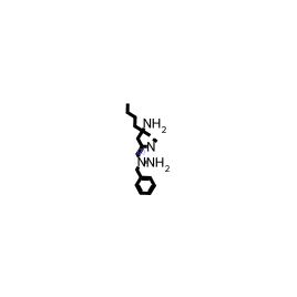 C=N/C(=C\N(N)Cc1ccccc1)CC(C)(N)CCCC